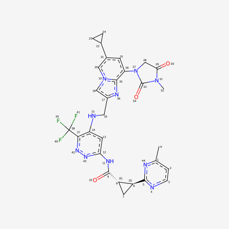 Cc1ccnc([C@H]2C[C@@H]2C(=O)Nc2cc(NCc3cn4cc(C5CC5)cc(N5CC(=O)N(C)C5=O)c4n3)c(C(F)(F)F)nn2)n1